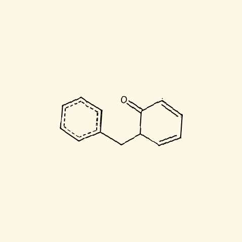 O=C1[C]=CC=CC1Cc1ccccc1